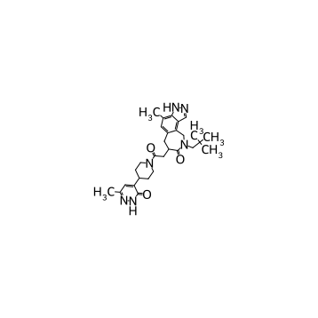 Cc1cc(C2CCN(C(=O)CC3Cc4cc(C)c5[nH]ncc5c4CN(CC(C)(C)C)C3=O)CC2)c(=O)[nH]n1